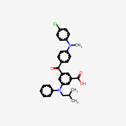 CC(C)CN(c1ccccc1)c1cc(C(=O)O)cc(C(=O)c2ccc(N(C)c3ccc(Cl)cc3)cc2)c1